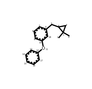 CC1(C)CC1Cc1cccc(Oc2ccccc2)c1